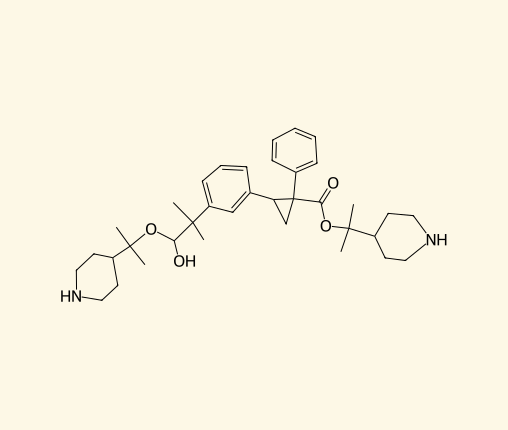 CC(C)(OC(=O)C1(c2ccccc2)CC1c1cccc(C(C)(C)C(O)OC(C)(C)C2CCNCC2)c1)C1CCNCC1